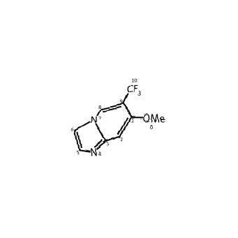 COc1cc2nccn2cc1C(F)(F)F